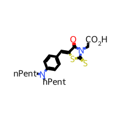 CCCCCN(CCCCC)c1ccc(/C=C2\SC(=S)N(CC(=O)O)C2=O)cc1